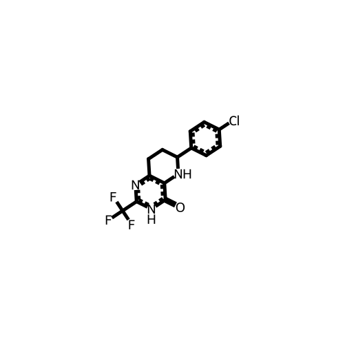 O=c1[nH]c(C(F)(F)F)nc2c1NC(c1ccc(Cl)cc1)CC2